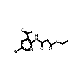 CCOC(=O)CC(=O)Nc1ncc(Br)cc1C(C)=O